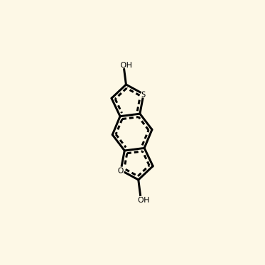 Oc1cc2cc3sc(O)cc3cc2o1